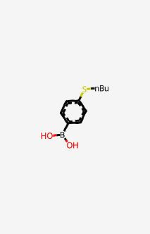 CCCCSc1ccc(B(O)O)cc1